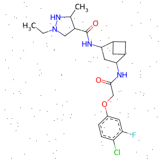 CCN1CC(C(=O)NC2CC(NC(=O)COc3ccc(Cl)c(F)c3)C3CC2C3)C(C)N1